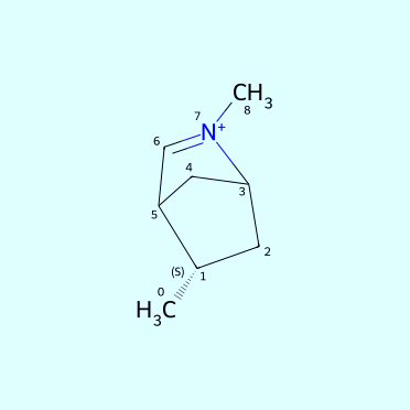 C[C@H]1CC2CC1C=[N+]2C